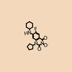 [O]n1c(=O)c2cc(F)c(NC3CCCCC3)cc2n(C2CCCC2)c1=O